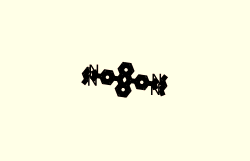 Cc1ccnc(-c2ccc(-c3c4ccccc4c(-c4ccc(-c5nc(C)cc(C)n5)cc4)c4ccccc34)cc2)n1